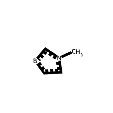 Cn1cbcc1